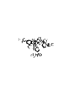 CCN1CCC[C@@H](Nc2ncc3nc(Nc4c(Cl)cc(C(F)(F)F)cc4Cl)n([C@H]4CC[C@H](C(N)=O)CC4)c3n2)C1